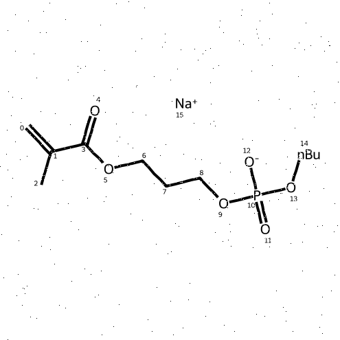 C=C(C)C(=O)OCCCOP(=O)([O-])OCCCC.[Na+]